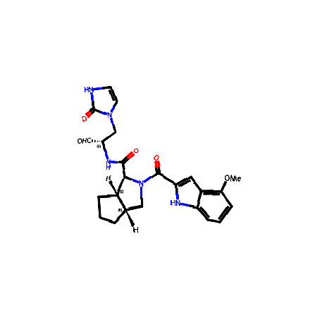 COc1cccc2[nH]c(C(=O)N3C[C@@H]4CCC[C@@H]4C3C(=O)N[C@H](C=O)Cn3cc[nH]c3=O)cc12